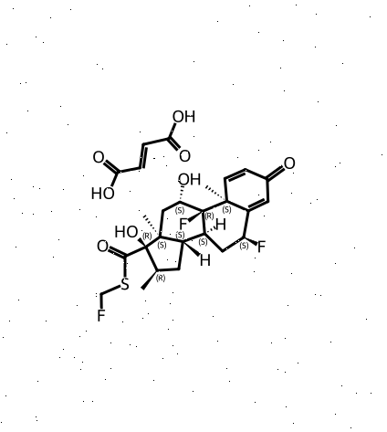 C[C@@H]1C[C@H]2[C@@H]3C[C@H](F)C4=CC(=O)C=C[C@]4(C)[C@@]3(F)[C@@H](O)C[C@]2(C)[C@@]1(O)C(=O)SCF.O=C(O)C=CC(=O)O